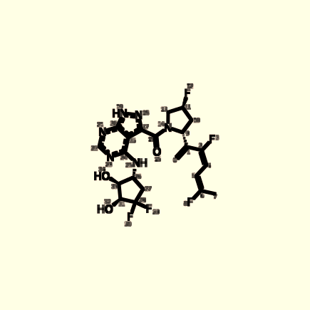 C=C(/C(F)=C\C=C(/C)F)[C@H]1C[C@H](F)CN1C(=O)c1n[nH]c2ncnc(N[C@@H]3CC(F)(F)[C@@H](O)[C@H]3O)c12